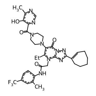 CCc1c(N2CCN(C(=O)c3ncnc(C)c3O)CC2)c(=O)n2nc(C3=CCCCCC3)nc2n1CC(=O)Nc1ccc(C(F)(F)F)cc1C